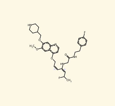 COc1cc2c(OC/C=C\C(=C/C(C)F)NCC(=O)NCCc3ccc(F)cc3)ccnc2cc1OCC1CCNCC1